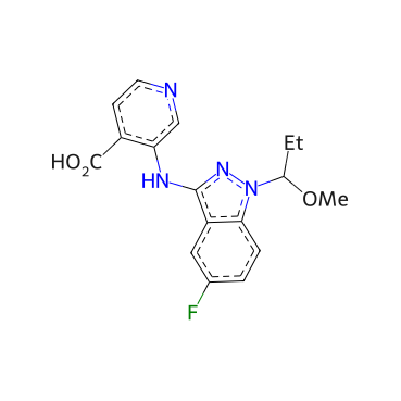 CCC(OC)n1nc(Nc2cnccc2C(=O)O)c2cc(F)ccc21